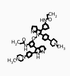 C=CC(=O)Nc1cc(OCn2c(-c3ccc(C4CCN(C)CC4)cc3)c(-c3cccc(NC(=O)C=C)c3)c3cccnc32)cc(-c2c(-c3ccc(N4CCN(C)CC4)cc3)[nH]c3ncccc23)c1